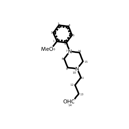 COc1ccccc1N1CCN(CCCC=O)CC1